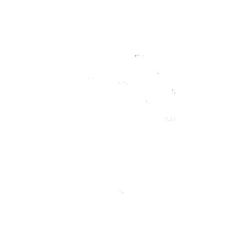 Cc1cnc(Nc2ccc(-c3cnco3)cc2)nc1NCc1ccco1